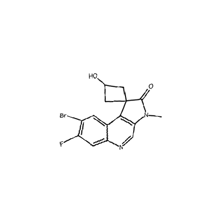 CN1C(=O)C2(CC(O)C2)c2c1cnc1cc(F)c(Br)cc21